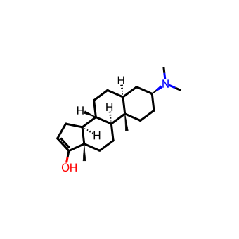 CN(C)[C@H]1CC[C@@]2(C)[C@@H](CC[C@@H]3[C@@H]2CC[C@]2(C)C(O)=CC[C@@H]32)C1